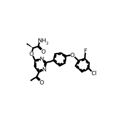 CC(=O)c1cc(O[C@@H](C)C(N)=O)nc(-c2ccc(Oc3ccc(Cl)cc3F)cc2)n1